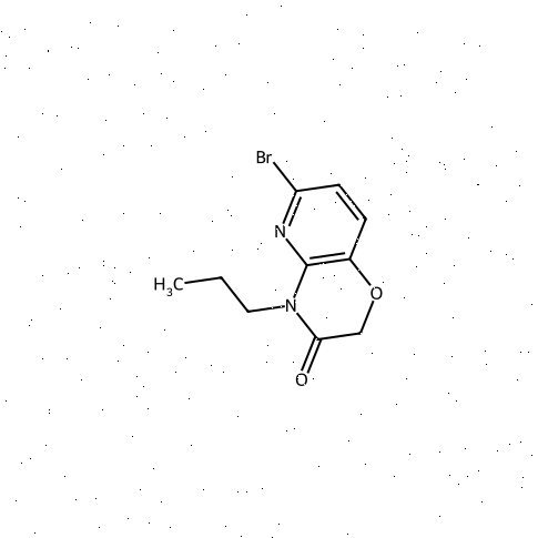 CCCN1C(=O)COc2ccc(Br)nc21